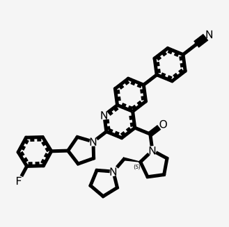 N#Cc1ccc(-c2ccc3nc(N4CCC(c5cccc(F)c5)C4)cc(C(=O)N4CCC[C@H]4CN4CCCC4)c3c2)cc1